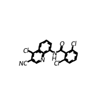 N#Cc1cnc2c(NC(=O)c3c(Cl)cccc3Cl)cccc2c1Cl